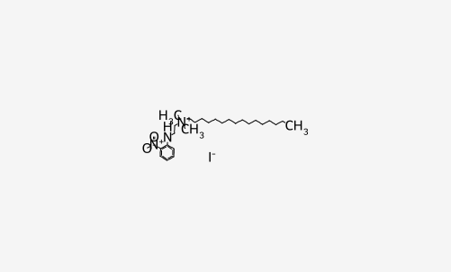 CCCCCCCCCCCCCCCC[N+](C)(C)CCNc1ccccc1[N+](=O)[O-].[I-]